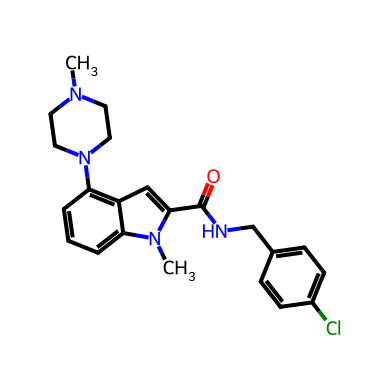 CN1CCN(c2cccc3c2cc(C(=O)NCc2ccc(Cl)cc2)n3C)CC1